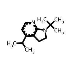 CC(C)c1ccnc2c1CCN2C(C)(C)C